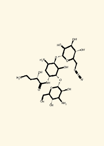 [N-]=[N+]=NCC1O[C@H](O[C@@H]2C(N)C[C@@H](NC(=O)[C@@H](O)CCN)[C@@H](O[C@H]3OC(CO)[C@@H](O)C(N)[C@@H]3O)C2O)C(O)[C@@H](O)[C@@H]1O